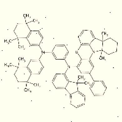 CC1(C)CCC(C)(C)c2cc(N(c3ccc4c(c3)N(c3cccc5c3C(C)(C)c3ccccc3-5)c3cc(-c5ccccc5)cc5c3B4c3cccc4c3N5C3(C)CCCCC43C)c3ccc4c(c3)C(C)(C)CCC4(C)C)ccc21